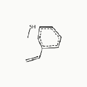 C=Cc1ccccc1.CS